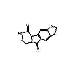 O=C1NCCN2C(=O)c3cc4c(cc3C12)OCO4